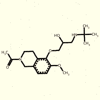 COc1ccc2c(c1OCC(O)CNC(C)(C)C)CCN(C(C)=O)C2